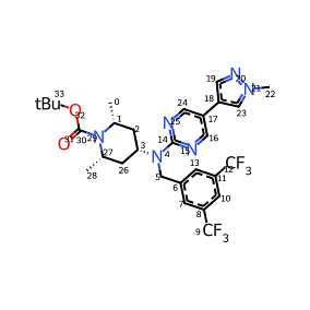 C[C@@H]1C[C@H](N(Cc2cc(C(F)(F)F)cc(C(F)(F)F)c2)c2ncc(-c3cnn(C)c3)cn2)C[C@H](C)N1C(=O)OC(C)(C)C